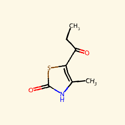 CCC(=O)c1sc(=O)[nH]c1C